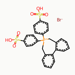 O=S(=O)(O)c1ccc([P+]2(c3ccc(S(=O)(=O)O)cc3)Cc3ccccc3-c3ccccc3C2)cc1.[Br-]